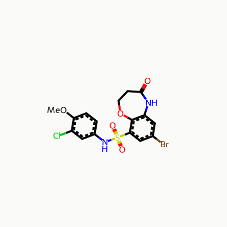 COc1ccc(NS(=O)(=O)c2cc(Br)cc3c2OCCC(=O)N3)cc1Cl